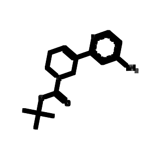 CC(C)(C)OC(=O)N1CCC=C(c2cc(N)ccn2)C1